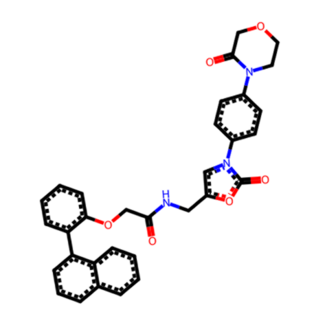 O=C(COc1ccccc1-c1cccc2ccccc12)NCc1cn(-c2ccc(N3CCOCC3=O)cc2)c(=O)o1